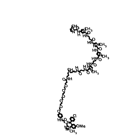 COc1ccc2c(c1)C(c1ccc(Cl)cc1)=N[C@@H](CC(=O)Nc1ccc(OCCOCCOCCOCCOCCOCCC(=O)NCCCN(C)CCCNC(=O)CCNC(=O)c3nc(NC(=O)CCNC(=O)c4cc(NC(=O)c5nc(NC(=O)CCNC(=O)c6cc(NC(=O)c7nccn7C)cn6C)cn5C)cn4C)cn3C)cc1)c1nnc(C)n1-2